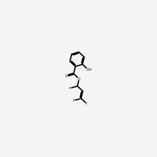 O=C(OC(F)C=C(F)F)c1ccccc1O